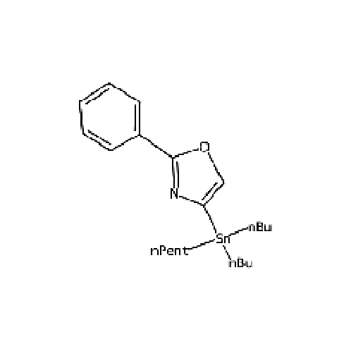 CCCC[CH2][Sn]([CH2]CCC)([CH2]CCC)[c]1coc(-c2ccccc2)n1